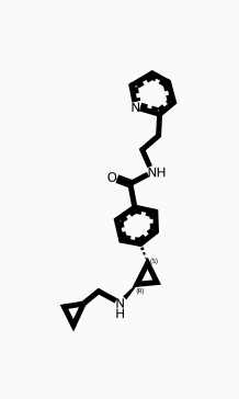 O=C(NCCc1ccccn1)c1ccc([C@@H]2C[C@H]2NCC2CC2)cc1